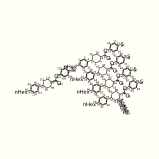 CCCCCCc1ccc(C2CCC(C(=O)Oc3ccc([S])cc3)CC2)cc1.CCCCCCc1ccc(C2CCC(C(=O)Oc3ccc([S])cc3)CC2)cc1.CCCCCCc1ccc(C2CCC(C(=O)Oc3ccc([S])cc3)CC2)cc1.CCCCCCc1ccc(C2CCC(C(=O)Oc3ccc([S])cc3)CC2)cc1.CCCCCCc1ccc(C2CCC(C(=O)Oc3ccc([S])cc3)CC2)cc1.F.F.F.F.F